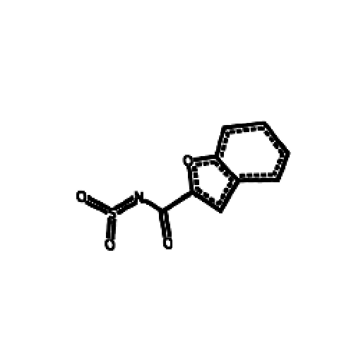 O=C(N=S(=O)=O)c1cc2ccccc2o1